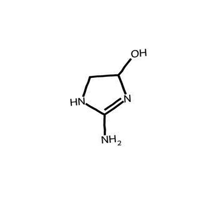 NC1=NC(O)CN1